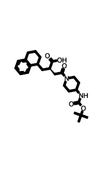 CC(C)(C)OC(=O)NC1CCN(C(=O)C[C@@H](CC2CCCc3ccccc32)C(=O)O)CC1